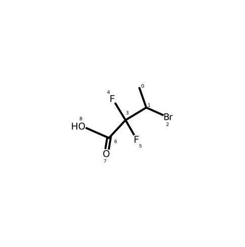 CC(Br)C(F)(F)C(=O)O